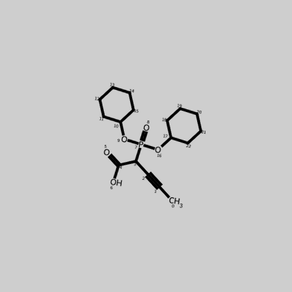 CC#CC(C(=O)O)P(=O)(OC1CCCCC1)OC1CCCCC1